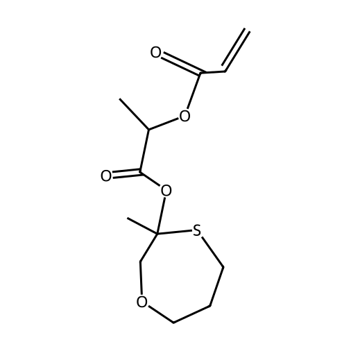 C=CC(=O)OC(C)C(=O)OC1(C)COCCCS1